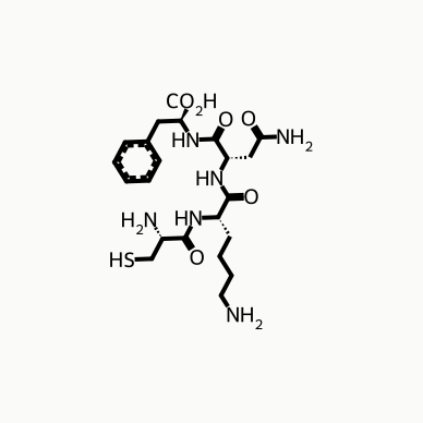 NCCCC[C@H](NC(=O)[C@@H](N)CS)C(=O)N[C@@H](CC(N)=O)C(=O)N[C@@H](Cc1ccccc1)C(=O)O